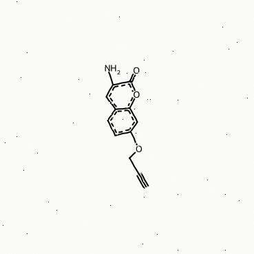 C#CCOc1ccc2cc(N)c(=O)oc2c1